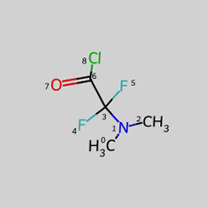 CN(C)C(F)(F)C(=O)Cl